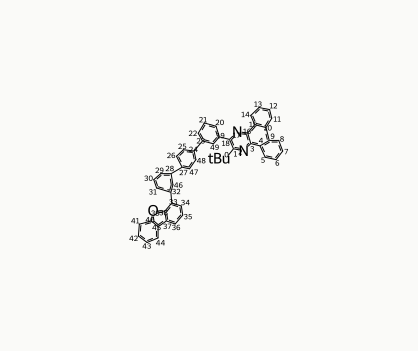 CC(C)(C)c1nc2c3ccccc3c3ccccc3c2nc1-c1cccc(-c2ccc(-c3cccc(-c4cccc5c4oc4ccccc45)c3)cc2)c1